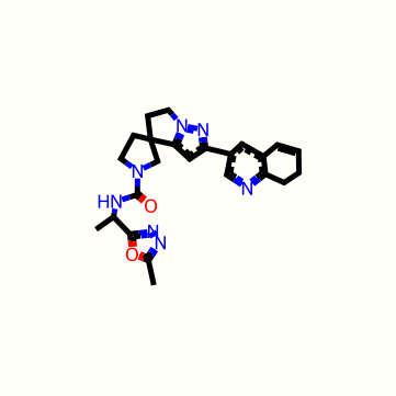 Cc1nnc(C(C)NC(=O)N2CCC3(CCn4nc(-c5cnc6c(c5)C=CCC6)cc43)C2)o1